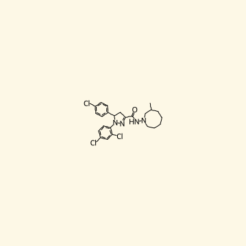 CC1CCCCCN(NC(=O)C2=NN(c3ccc(Cl)cc3Cl)C(c3ccc(Cl)cc3)C2)C1